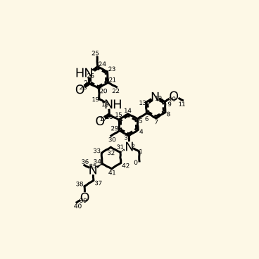 CCN(c1cc(-c2ccc(OC)nc2)cc(C(=O)NCc2c(C)cc(C)[nH]c2=O)c1C)[C@H]1CC[C@H](N(C)CCOC)CC1